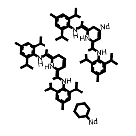 CC(Nc1c(C(C)C)cc(C)cc1C(C)C)=C1C=CCC(=C(C)Nc2c(C(C)C)cc(C)cc2C(C)C)N1.CC(Nc1c(C(C)C)cc(C)cc1C(C)C)=C1C=CCC(=C(C)Nc2c(C(C)C)cc(C)cc2C(C)C)N1.[Nd].[Nd][CH]1CCCCC1